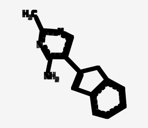 Cc1ncc(C2=Cc3ccccc3C2)c(N)n1